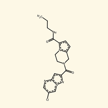 CCCNC(=O)c1ccc2n1CCN(C(=O)c1cc3ncc(Cl)cn3n1)C2